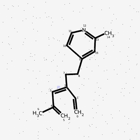 C=C/C(=C\C(=C)C)CCc1ccnc(C)c1